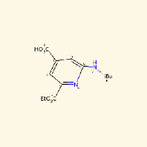 CCOC(=O)c1cc(C(=O)O)cc(N[C@@H](C)CC)n1